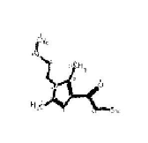 COCCn1c(C)cc(C(=O)C[S])c1C